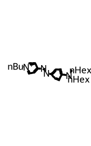 CCCCCCN(CCCCCC)c1ccc(/N=N/c2cc[n+](CCCC)cc2)cc1